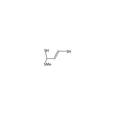 CSC(S)C=CS